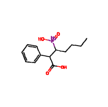 CCCCC(C(C(=O)O)c1ccccc1)[PH](=O)O